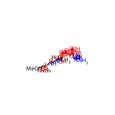 CCCCCCCCCC(CC(O)CC(=O)SCCNC(=O)CCNC(=O)[C@H](O)C(C)(C)COP(=O)(O)OP(=O)(O)OC[C@H]1O[C@@H](n2cnc3c(N)ncnc32)[C@H](O)[C@@H]1OP(=O)(O)O)OC